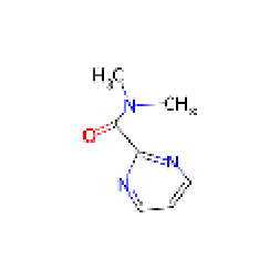 CN(C)C(=O)c1ncccn1